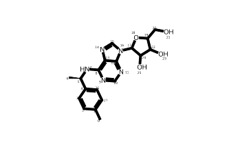 Cc1ccc([C@@H](C)Nc2ncnc3c2ncn3C2OC(CO)C(O)C2O)cc1